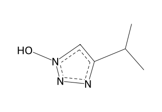 CC(C)c1cn(O)nn1